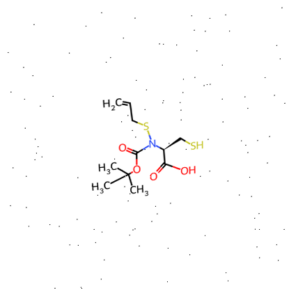 C=CCSN(C(=O)OC(C)(C)C)[C@@H](CS)C(=O)O